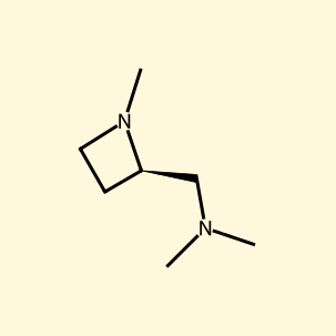 CN(C)C[C@H]1CCN1C